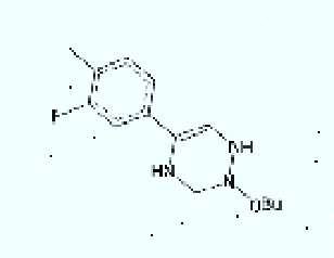 CCCCN1CNC(c2ccc(C)c(F)c2)=CN1